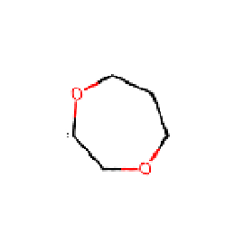 [C]1COCCCO1